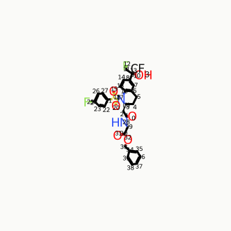 O=C(C[C@@H]1CCc2cc(C(O)(CF)C(F)(F)F)ccc2N1S(=O)(=O)c1ccc(F)cc1)NCC(=O)OCc1ccccc1